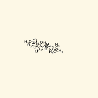 Cc1cccc(N2C(=O)c3c(Cl)ccc(NS(=O)(=O)c4ccc(C(C)(C)C)cc4)c3C2=O)[n+]1C